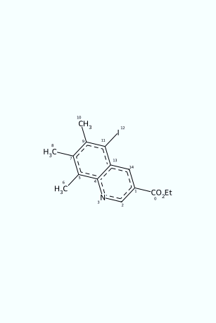 CCOC(=O)c1cnc2c(C)c(C)c(C)c(I)c2c1